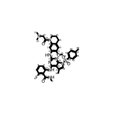 CNC(=O)c1c(F)cccc1Nc1nc(Nc2cc3c(cc2OC)CCCN3C(=O)CN(C)C)nc2c1c(C)cn2S(=O)(=O)c1ccc(C)cc1